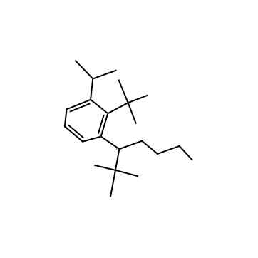 CCCC[C](c1cccc(C(C)C)c1C(C)(C)C)C(C)(C)C